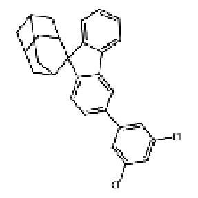 Clc1cc(Cl)cc(-c2ccc3c(c2)-c2ccccc2C32C3CC4CC(C3)CC2C4)c1